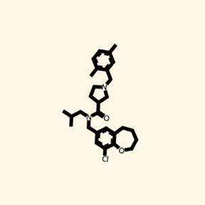 Cc1ccc(C)c(CN2CCC(C(=O)N(Cc3cc(Cl)c4c(c3)CCCCO4)CC(C)C)C2)c1